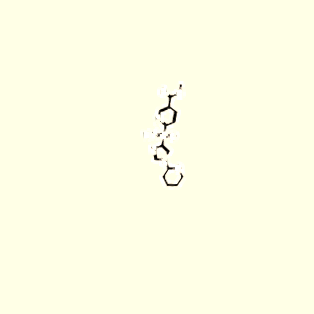 COC(=O)c1ccc(S(=N)(=O)c2cn(C3CCCCO3)cn2)nc1